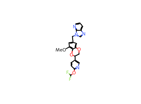 COc1cc(Cn2cnc3cccnc32)cc2c1OC(c1ccc(OC(F)F)nc1)CO2